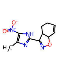 Cc1nc(C2=NOC3C=CCCC23)[nH]c1[N+](=O)[O-]